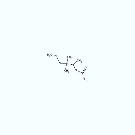 CCO[Si](C)(C)C(C)OC(C)=O